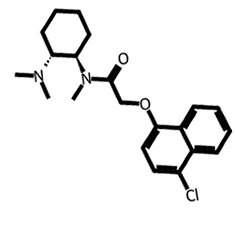 CN(C)[C@@H]1CCCC[C@H]1N(C)C(=O)COc1ccc(Cl)c2ccccc12